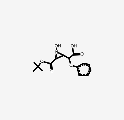 CC(C)(C)OC(=O)C1C(C(Oc2ccccc2)C(=O)O)N1O